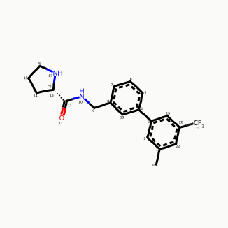 Cc1cc(-c2cccc(CNC(=O)[C@@H]3CCCN3)c2)cc(C(F)(F)F)c1